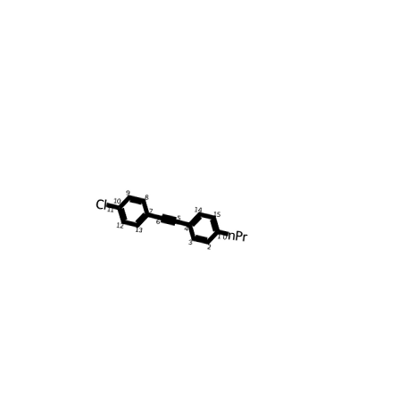 CCCc1ccc(C#Cc2ccc(Cl)cc2)cc1